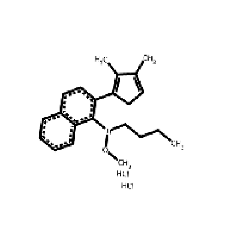 CCC[CH2][Ti]([O]C)[c]1c(C2=C(C)C(C)=CC2)ccc2ccccc12.Cl.Cl